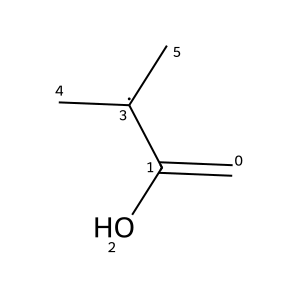 C=C(O)[C](C)C